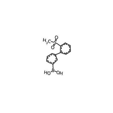 CS(=O)(=O)c1ccccc1-c1cccc(B(O)O)c1